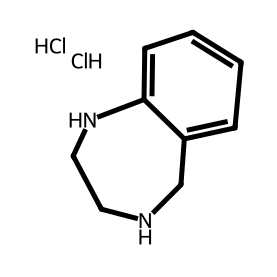 Cl.Cl.c1ccc2c(c1)CNCCN2